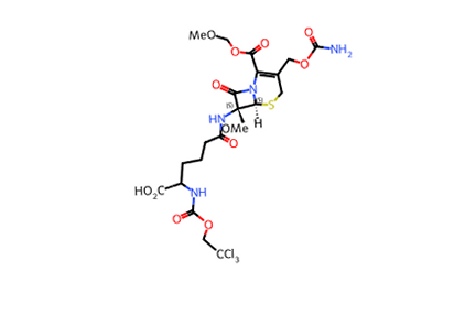 COCOC(=O)C1=C(COC(N)=O)CS[C@@H]2N1C(=O)[C@]2(NC(=O)CCCC(NC(=O)OCC(Cl)(Cl)Cl)C(=O)O)OC